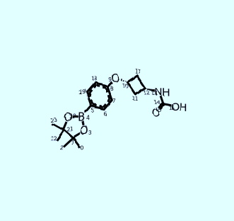 CC1(C)OB(c2ccc(O[C@H]3C[C@H](NC(=O)O)C3)cc2)OC1(C)C